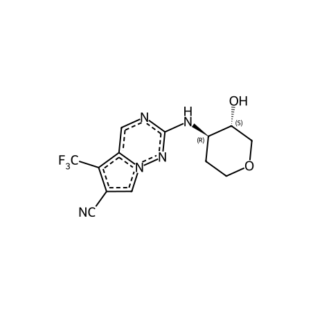 N#Cc1cn2nc(N[C@@H]3CCOC[C@H]3O)ncc2c1C(F)(F)F